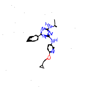 CC(C)Nc1nc(Nc2ccc(OCC3CC3)nc2)nc(-c2ccccc2)n1